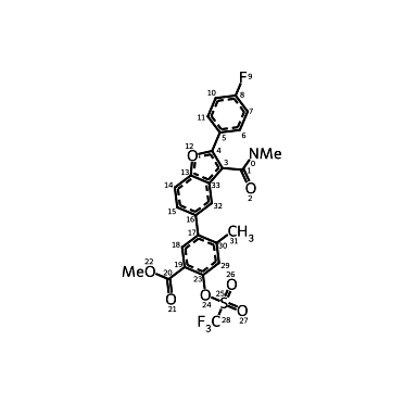 CNC(=O)c1c(-c2ccc(F)cc2)oc2ccc(-c3cc(C(=O)OC)c(OS(=O)(=O)C(F)(F)F)cc3C)cc12